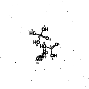 N.O=C(O)O.O=P(O)(O)O.[Mn].[Mn]